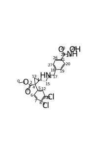 COC(=O)[C@@]1(c2ccc(Cl)c(Cl)c2)C[C@@H]1CNCc1ccc(C(=O)NO)cc1